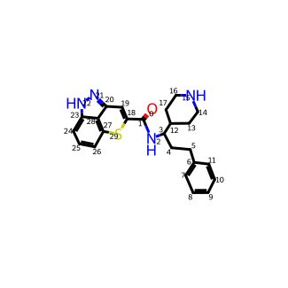 O=C(NC(CCc1ccccc1)C1CCNCC1)C1=Cc2n[nH]c3cccc(c23)S1